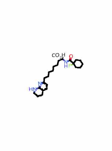 O=C(O)[C@H](CCCCCCCc1ccc2c(n1)NCCC2)NC(=O)C1(F)CCCCC1